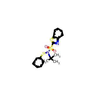 CC(C)(C)N(Sc1ccccc1)S(=O)(=O)c1nc2ccccc2s1